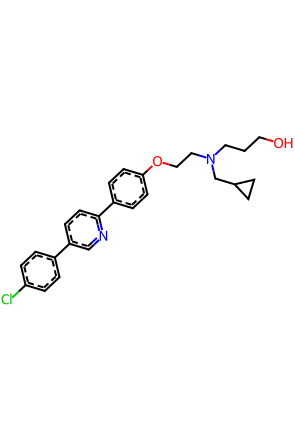 OCCCN(CCOc1ccc(-c2ccc(-c3ccc(Cl)cc3)cn2)cc1)CC1CC1